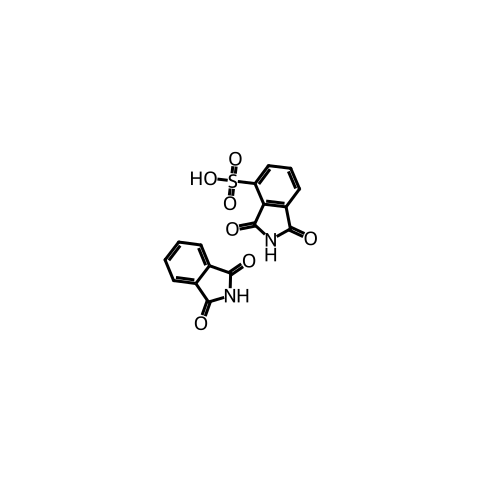 O=C1NC(=O)c2c1cccc2S(=O)(=O)O.O=C1NC(=O)c2ccccc21